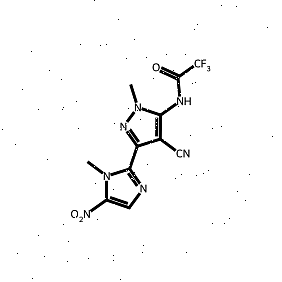 Cn1nc(-c2ncc([N+](=O)[O-])n2C)c(C#N)c1NC(=O)C(F)(F)F